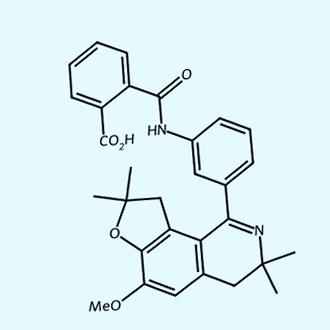 COc1cc2c(c3c1OC(C)(C)C3)C(c1cccc(NC(=O)c3ccccc3C(=O)O)c1)=NC(C)(C)C2